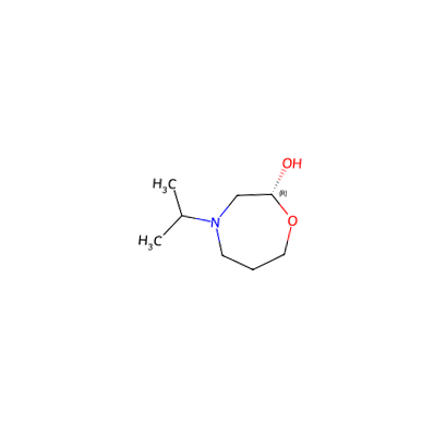 CC(C)N1CCCO[C@@H](O)C1